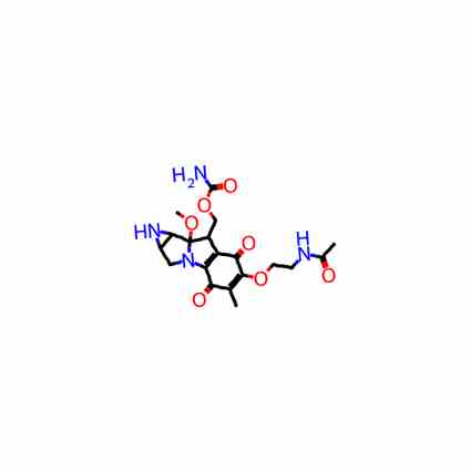 COC12C(COC(N)=O)C3=C(C(=O)C(C)=C(OCCNC(C)=O)C3=O)N1CC1NC12